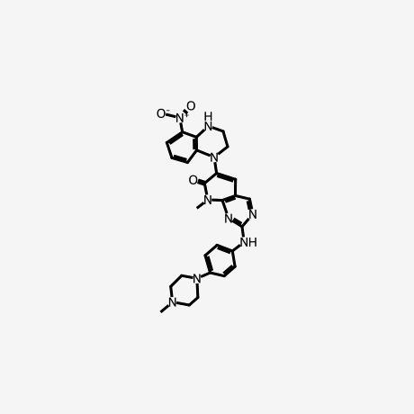 CN1CCN(c2ccc(Nc3ncc4cc(N5CCNc6c5cccc6[N+](=O)[O-])c(=O)n(C)c4n3)cc2)CC1